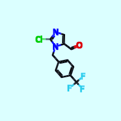 O=Cc1cnc(Cl)n1Cc1ccc(C(F)(F)F)cc1